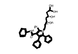 CC(C)c1c(C(=O)Nc2ccccc2)c(-c2ccccc2)c(-c2ccccc2)n1CC[C@@H](O)C[C@@H](O)CC(O)O